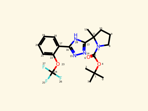 CC(C)(C)OC(=O)N1CCCC1(C)c1nnc(-c2ccccc2OC(F)(F)F)[nH]1